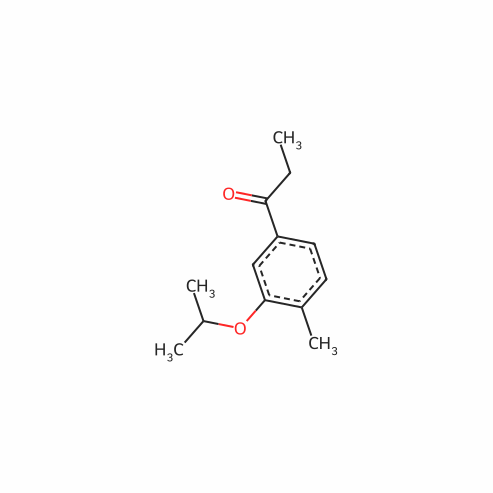 CCC(=O)c1ccc(C)c(OC(C)C)c1